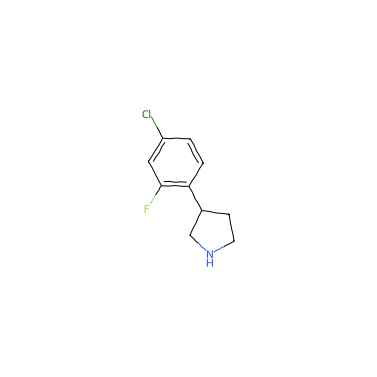 Fc1cc(Cl)ccc1C1CCNC1